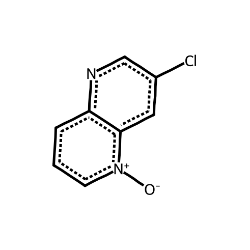 [O-][n+]1cccc2ncc(Cl)cc21